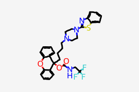 O=C(NCC(F)(F)F)OC1(CCCCN2CCN(c3nc4ccccc4s3)CC2)c2ccccc2Oc2ccccc21